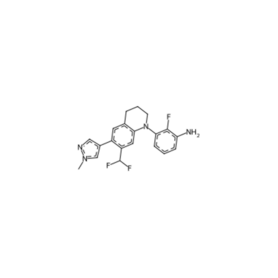 Cn1cc(-c2cc3c(cc2C(F)F)N(c2cccc(N)c2F)CCC3)cn1